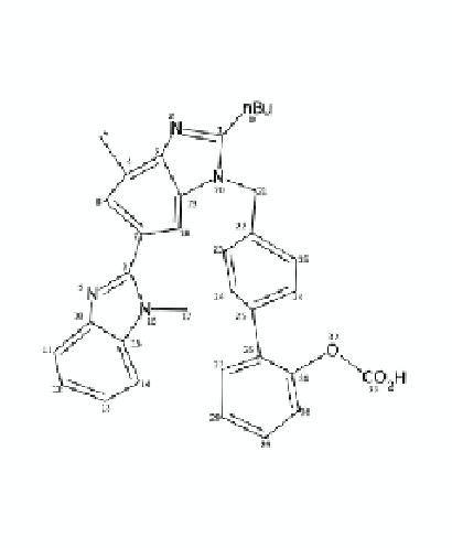 CCCCc1nc2c(C)cc(-c3nc4ccccc4n3C)cc2n1Cc1ccc(-c2ccccc2OC(=O)O)cc1